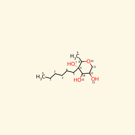 CCCCCC[C@@]1(O)C(C)OCC(O)C1O